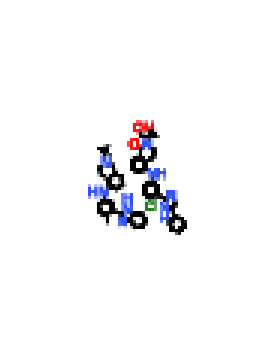 Cc1ccc(Nc2cccc3c2CCN([C]2CC2)C3)cc1-c1nc2ccccc2[nH]1.O=C1c2cccc(Nc3ccc(Cl)c(-c4ncc(-c5ccccc5)[nH]4)c3)c2CCN1C1(CO)CC1